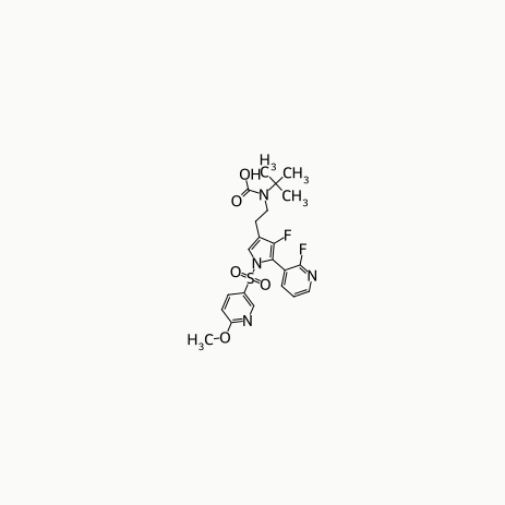 COc1ccc(S(=O)(=O)n2cc(CCN(C(=O)O)C(C)(C)C)c(F)c2-c2cccnc2F)cn1